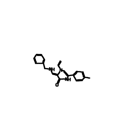 C=CN1C=C(c2ccc(C)cc2)NC(=O)/C1=C/NCc1ccccc1